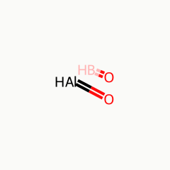 B=O.[O]=[AlH]